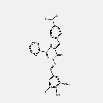 CCN(CC)c1ccc(C=C(NC(=O)c2ccccc2)C(=O)NN=Cc2cc(I)c(O)c(OC)c2)cc1